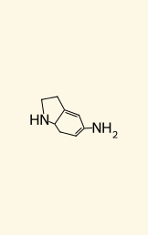 NC1=CCC2NCCC2=C1